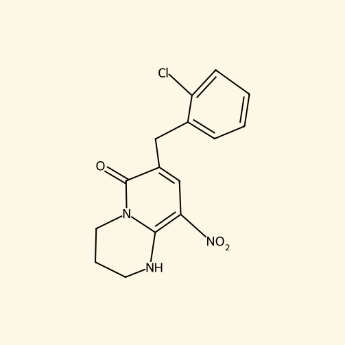 O=c1c(Cc2ccccc2Cl)cc([N+](=O)[O-])c2n1CCCN2